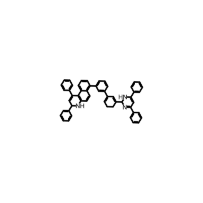 C1=C(c2cccc(-c3cccc4c5c(ccc34)NC(c3ccccc3)C=C5c3ccccc3)c2)C=C(C2N=C(c3ccccc3)C=C(c3ccccc3)N2)CC1